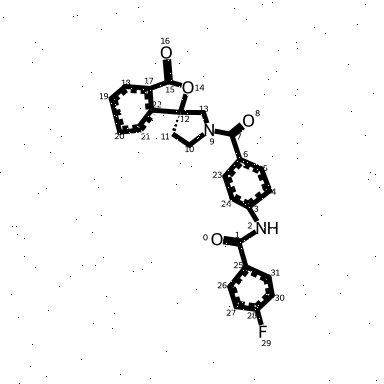 O=C(Nc1ccc(C(=O)N2CC[C@@]3(C2)OC(=O)c2ccccc23)cc1)c1ccc(F)cc1